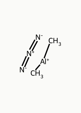 [CH3][Al+][CH3].[N-]=[N+]=[N-]